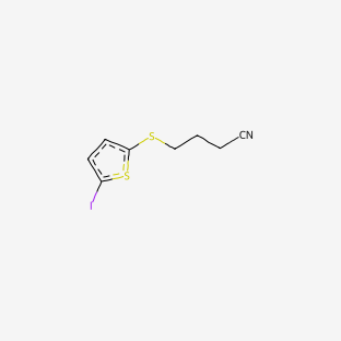 N#CCCCSc1ccc(I)s1